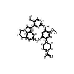 CCc1cnc(Nc2cc(N)c(N3CCN(C(C)=O)CC3)cc2OC)nc1-c1cn2c3c(cccc13)CCC2